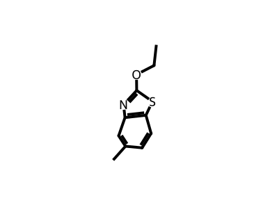 CCOc1nc2cc(C)ccc2s1